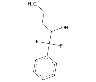 CCCC(O)C(F)(F)c1ccccc1